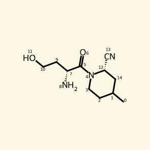 CC1CCN(C(=O)[C@H](N)CCO)[C@H](C#N)C1